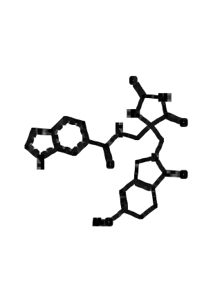 COC1=CC2=C(CC1)C(=O)N(CC1(CNC(=O)c3ccc4cc[nH]c4c3)NC(=O)NC1=O)C2